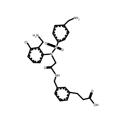 NCc1ccc(S(=O)(=O)N(CC(=O)NCc2cccc(CCC(=O)O)c2)c2cccc(Cl)c2CN)cc1